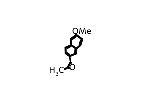 COc1ccc2cc(C3OC3C)ccc2c1